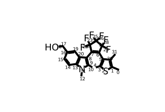 Cc1sc(C)c(C2=C(c3c(C)n(C)c4ccc(CO)cc34)C(F)(F)C(F)(F)C2(F)F)c1C